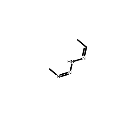 C/C=N\N/N=N\C